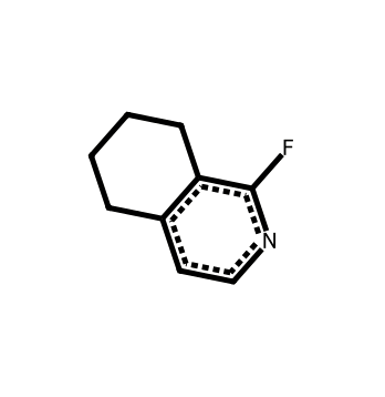 Fc1nccc2c1CCCC2